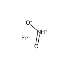 O=[NH+][O-].[Pr]